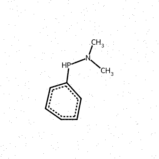 CN(C)Pc1ccccc1